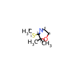 CSC1=NCCOC1(C)C